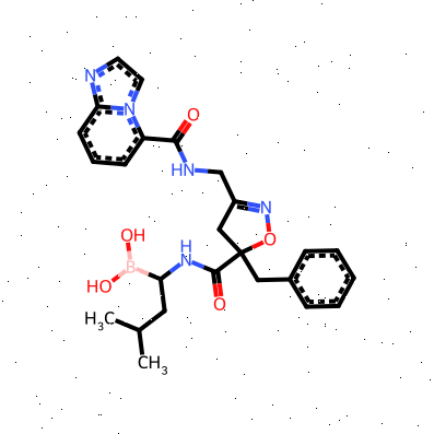 CC(C)CC(NC(=O)C1(Cc2ccccc2)CC(CNC(=O)c2cccc3nccn23)=NO1)B(O)O